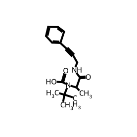 CC(C(=O)NCC#Cc1ccccc1)N(C(=O)O)C(C)(C)C